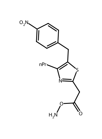 CCCc1nc(CC(=O)ON)sc1Cc1ccc([N+](=O)[O-])cc1